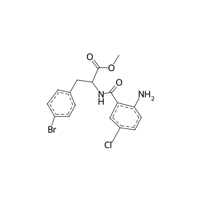 COC(=O)C(Cc1ccc(Br)cc1)NC(=O)c1cc(Cl)ccc1N